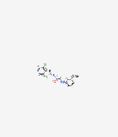 CSc1cccc(NCC(=O)N/N=C/c2c(Cl)cncc2Cl)c1